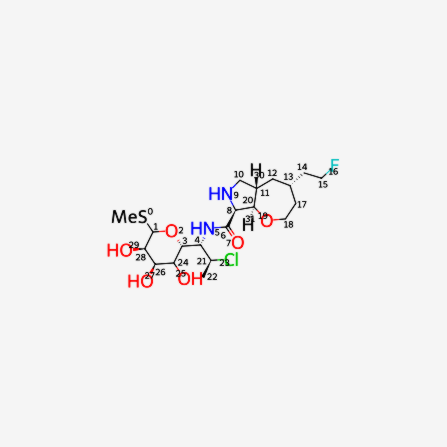 CSC1O[C@H]([C@H](NC(=O)[C@H]2NC[C@@H]3C[C@H](CCF)CCO[C@H]32)[C@H](C)Cl)C(O)[C@@H](O)[C@H]1O